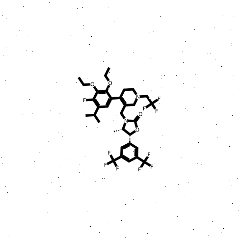 CCOc1c(C2=C(CN3C(=O)O[C@H](c4cc(C(F)(F)F)cc(C(F)(F)F)c4)[C@@H]3C)CN(CC(F)(F)F)CC2)cc(C(C)C)c(F)c1OCC